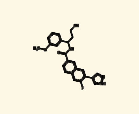 COc1cccc(C(CCO)NC(=O)c2ccc3cc(F)c(-c4cn[nH]c4)cc3c2)c1